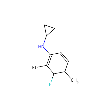 CCC1=C(NC2CC2)C=CC(C)C1F